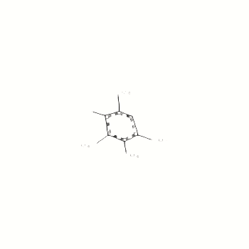 COc1cc(OC)c(OC)c(OC)c1[O]